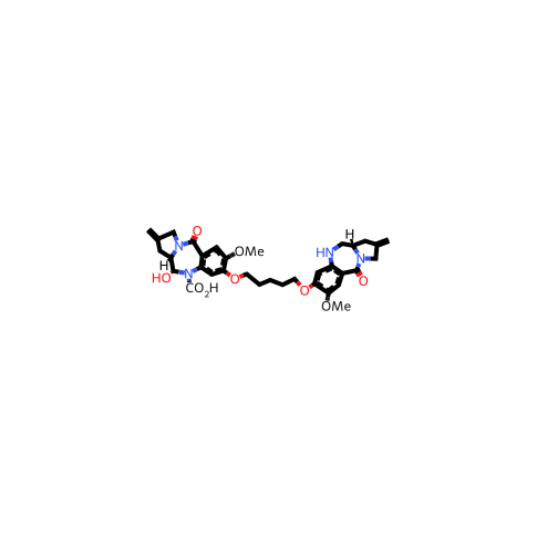 C=C1C[C@H]2CNc3cc(OCCCCCOc4cc5c(cc4OC)C(=O)N4CC(=C)C[C@H]4[C@H](O)N5C(=O)O)c(OC)cc3C(=O)N2C1